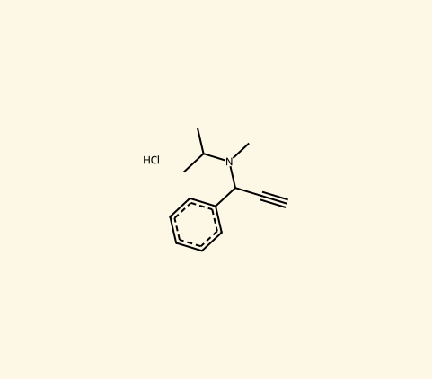 C#CC(c1ccccc1)N(C)C(C)C.Cl